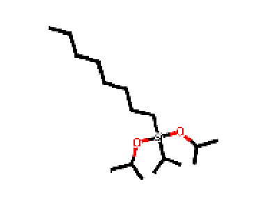 CCCCCCCC[Si](OC(C)C)(OC(C)C)C(C)C